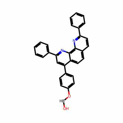 OBOc1ccc(-c2cc(-c3ccccc3)nc3c2ccc2ccc(-c4ccccc4)nc23)cc1